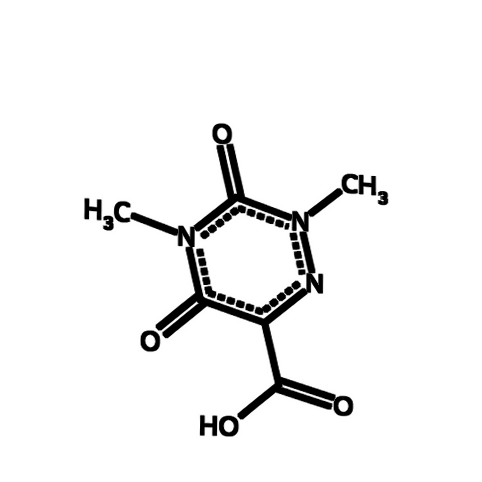 Cn1nc(C(=O)O)c(=O)n(C)c1=O